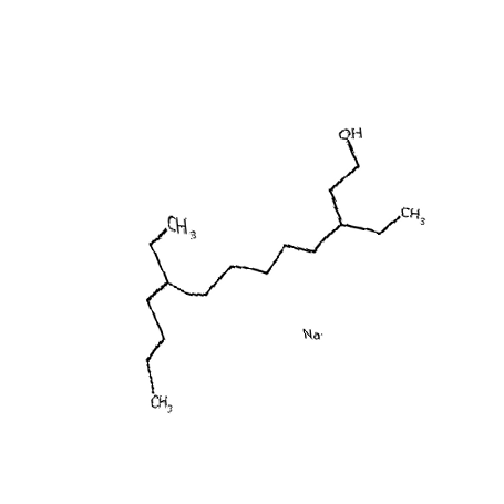 CCCCC(CC)CCCCCC(CC)CCO.[Na]